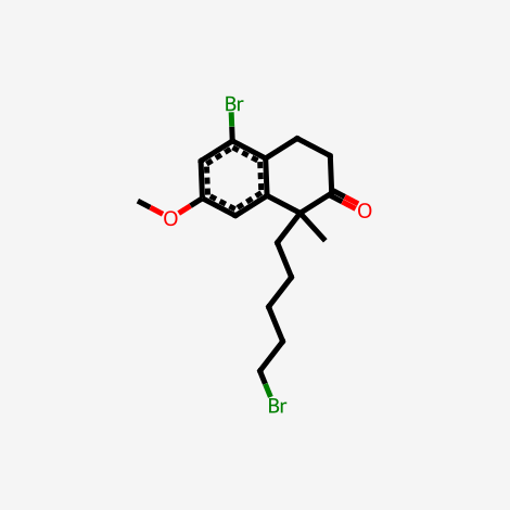 COc1cc(Br)c2c(c1)C(C)(CCCCCBr)C(=O)CC2